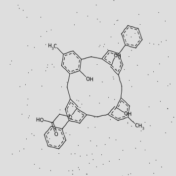 Cc1cc2c(O)c(c1)Cc1cc(-c3ccccc3)cc(c1OCC(=O)O)Cc1cc(C)cc(c1O)Cc1cc(-c3ccccc3)cc(c1O)C2